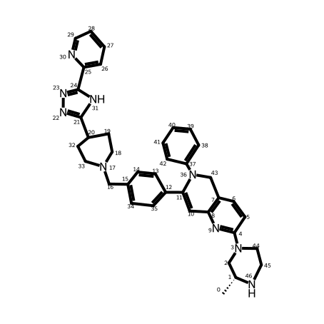 C[C@@H]1CN(c2ccc3c(n2)C=C(c2ccc(CN4CCC(c5nnc(-c6ccccn6)[nH]5)CC4)cc2)N(c2ccccc2)C3)CCN1